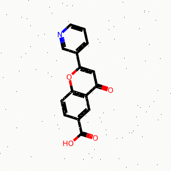 O=C(O)c1ccc2oc(-c3cccnc3)cc(=O)c2c1